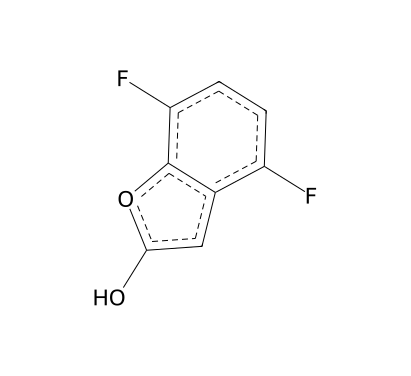 Oc1cc2c(F)ccc(F)c2o1